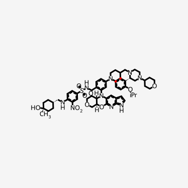 CC(C)Oc1ccccc1[C@H]1CN(C2CCOCC2)CCN1CC1CCN(c2ccc(C(=O)NS(=O)(=O)c3ccc(NC[C@H]4CC[C@](C)(O)CC4)c([N+](=O)[O-])c3)c(N3c4cc5cc[nH]c5nc4O[C@H]4COCC[C@@H]43)c2)CC1